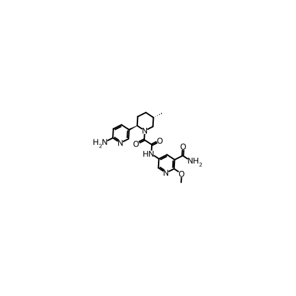 COc1ncc(NC(=O)C(=O)N2C[C@@H](C)CC[C@@H]2c2ccc(N)nc2)cc1C(N)=O